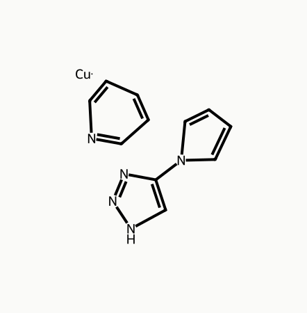 [Cu].c1ccn(-c2c[nH]nn2)c1.c1ccncc1